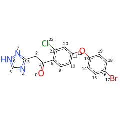 O=C(Cc1nc[nH]n1)c1ccc(Oc2ccc(Br)cc2)cc1Cl